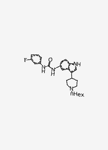 CCCCCCN1CCC(c2c[nH]c3ccc(NC(=O)Nc4cccc(F)c4)cc23)CC1